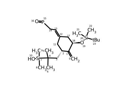 C=C1[C@H](CC(C)(C)[Si](C)(C)O)C/C(=C\CP=O)C[C@H]1O[Si](C)(C)C(C)(C)C